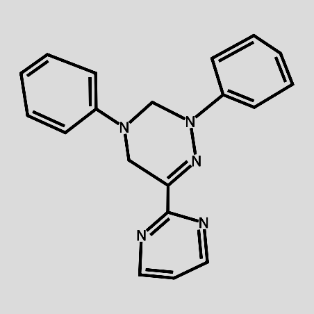 c1ccc(N2CC(c3ncccn3)=NN(c3ccccc3)C2)cc1